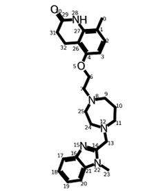 Cc1ccc(OCCN2CCCN(Cc3nc4ccccc4n3C)CC2)c2c1NC(=O)CC2